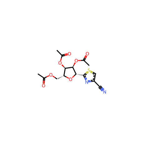 CC(=O)OC[C@H]1O[C@@H](c2nc(C#N)cs2)[C@H](OC(C)=O)[C@@H]1OC(C)=O